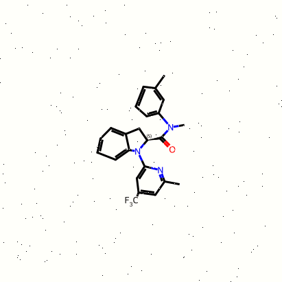 Cc1cccc(N(C)C(=O)[C@@H]2Cc3ccccc3N2c2cc(C(F)(F)F)cc(C)n2)c1